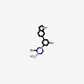 CC(C)(C)C1CN(c2cc(Br)cc(-c3ccc4cc[nH]c4c3)c2)CCN1C(=O)O